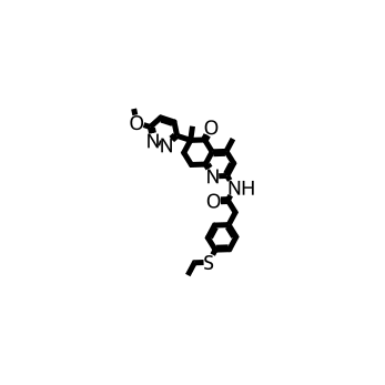 CCSc1ccc(CC(=O)Nc2cc(C)c3c(n2)CCC(C)(c2ccc(OC)nn2)C3=O)cc1